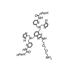 CCCCCC(=O)Nc1cccc(CN(Cc2ncc[nH]2)Cc2ccc(CN(Cc3cccc(NC(=O)CCCCC)n3)Cc3ncc[nH]3)c3sc(NCCOCCOCCN)nc23)n1